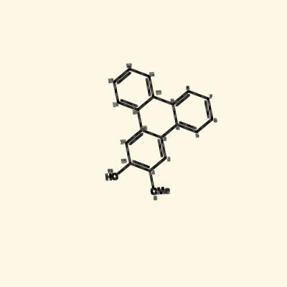 COc1cc2c3ccccc3c3ccccc3c2cc1O